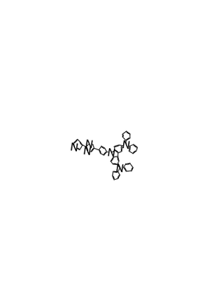 c1ccc(N(c2ccccc2)c2ccc3c(c2)c2cc(N(c4ccccc4)c4ccccc4)ccc2n3-c2ccc(-c3cnc(-c4cccnc4)nc3)cc2)cc1